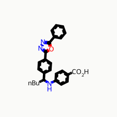 CCCCC(Nc1ccc(C(=O)O)cc1)c1ccc(-c2nnc(-c3ccccc3)o2)cc1